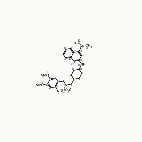 COc1cc(CN(CC2CCC(Nc3cc(N(C)C)c4ccccc4n3)CC2)C(=O)O)c([N+](=O)[O-])cc1OC